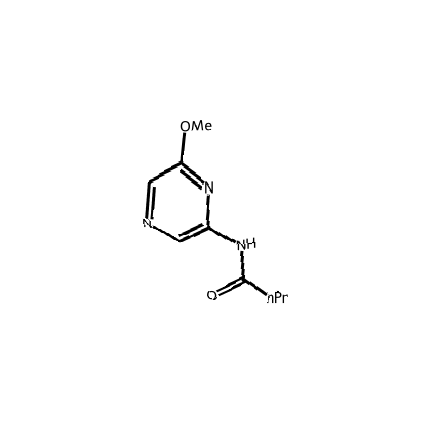 CCCC(=O)Nc1cncc(OC)n1